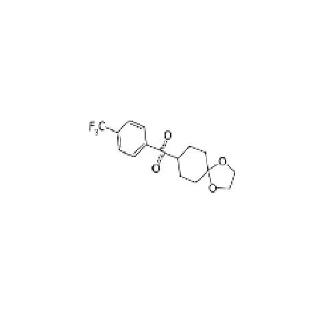 O=S(=O)(c1ccc(C(F)(F)F)cc1)C1CCC2(CC1)OCCO2